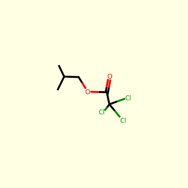 CC(C)COC(=O)C(Cl)(Cl)Cl